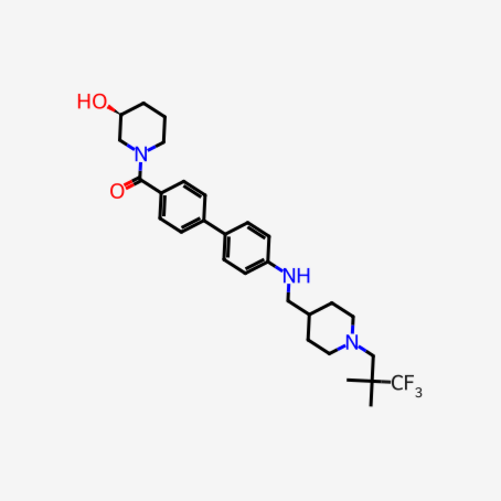 CC(C)(CN1CCC(CNc2ccc(-c3ccc(C(=O)N4CCC[C@H](O)C4)cc3)cc2)CC1)C(F)(F)F